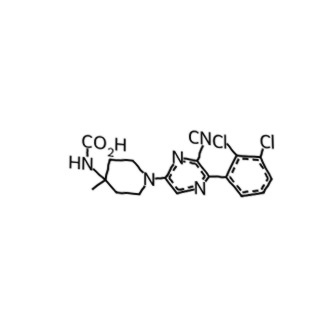 CC1(NC(=O)O)CCN(c2cnc(-c3cccc(Cl)c3Cl)c(C#N)n2)CC1